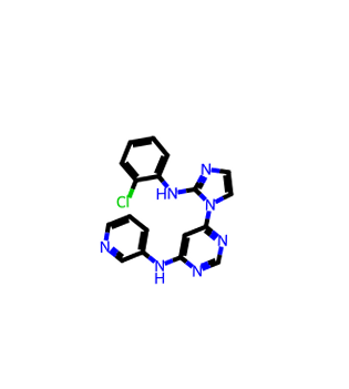 Clc1ccccc1Nc1nccn1-c1cc(Nc2cccnc2)ncn1